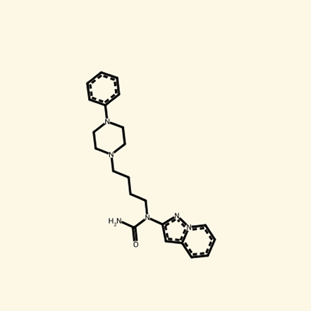 NC(=O)N(CCCCN1CCN(c2ccccc2)CC1)c1cc2ccccn2n1